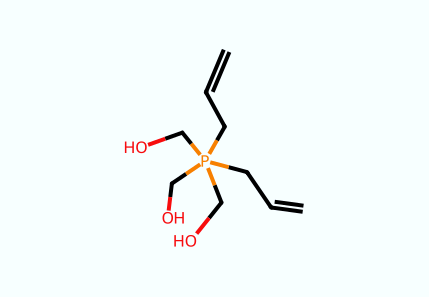 C=CCP(CO)(CO)(CO)CC=C